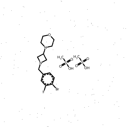 CS(=O)(=O)O.CS(=O)(=O)O.Fc1cc(CN2CC(N3CCOCC3)C2)ccc1Br